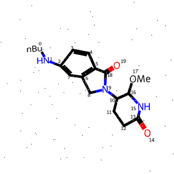 CCCCNc1ccc2c(c1)CN(C1CCC(=O)NC1OC)C2=O